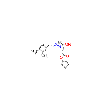 CCC(O)(CCC(=O)Oc1ccccc1)N=NCCc1ccc(C)c(C)c1